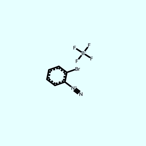 F[B-](F)(F)F.N#[N+]c1ccccc1Br